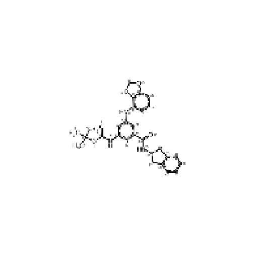 CC(C)(C)OC(=O)Nc1cc(Nc2cccc3c2OCO3)cc(C(=O)NC2Cc3ccccc3C2)n1